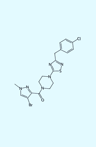 Cn1cc(Br)c(C(=O)N2CCN(c3nc(Cc4ccc(Cl)cc4)ns3)CC2)n1